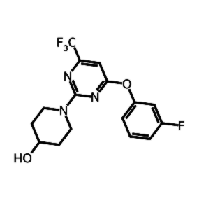 OC1CCN(c2nc(Oc3cccc(F)c3)cc(C(F)(F)F)n2)CC1